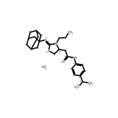 CCCN1/C(=N/C23CC4CC(CC(C4)C2)C3)SCC1CC(=O)Nc1ccc(C(C)C)cc1.Cl